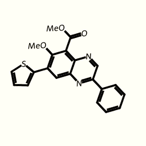 COC(=O)c1c(OC)c(-c2cccs2)cc2nc(-c3ccccc3)cnc12